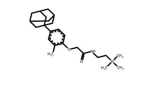 Cc1cc(C23CC4CC(CC(C4)C2)C3)ccc1OCC(=O)NCC[N+](C)(C)C